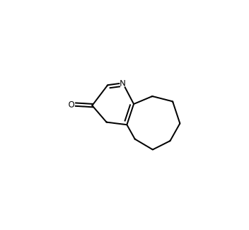 O=C1C=NC2=C(CCCCCC2)C1